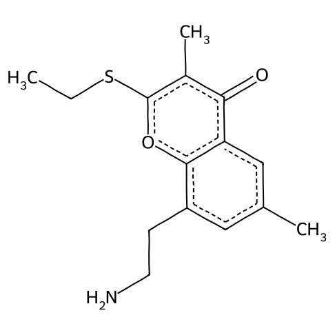 CCSc1oc2c(CCN)cc(C)cc2c(=O)c1C